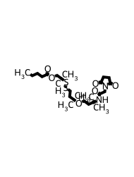 CCCCC(=O)OCC(C)(C)SSCCC(C)(C)OCCC(C)(C)NC(=O)CN1C(=O)CCC1=O